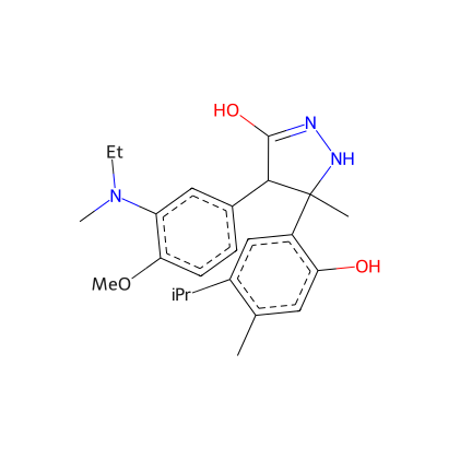 CCN(C)c1cc(C2C(O)=NNC2(C)c2cc(C(C)C)c(C)cc2O)ccc1OC